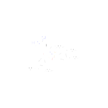 COc1ccc(S(=O)(=O)N(c2cc(C(=N)N)sc2SC)S(=O)(=O)c2ccc(OC)c(OC)c2)cc1OC